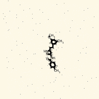 COc1cc(C)cc(CCc2cc(NC(=O)c3ccc(C)cc3)n[nH]2)c1